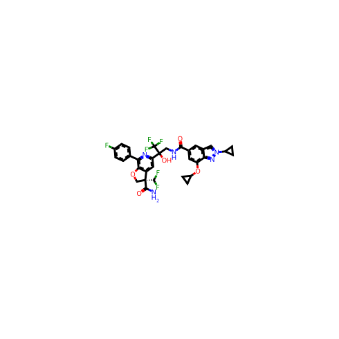 NC(=O)[C@@]1(C(F)F)COc2c1cc(C(O)(CNC(=O)c1cc(OC3CC3)c3nn(C4CC4)cc3c1)C(F)(F)F)nc2-c1ccc(F)cc1